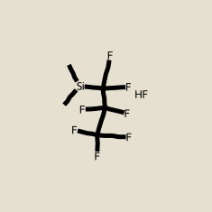 C[Si](C)C(F)(F)C(F)(F)C(F)(F)F.F